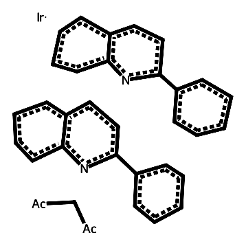 CC(=O)CC(C)=O.[Ir].c1ccc(-c2ccc3ccccc3n2)cc1.c1ccc(-c2ccc3ccccc3n2)cc1